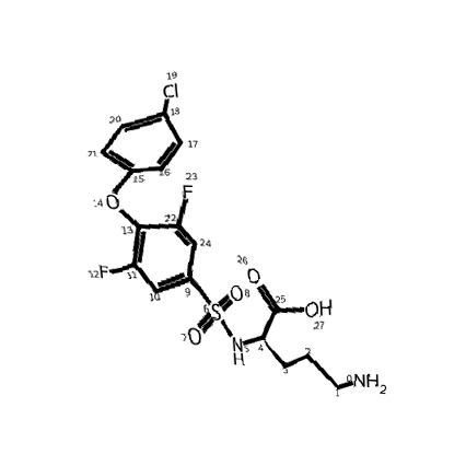 NCCC[C@@H](NS(=O)(=O)c1cc(F)c(Oc2ccc(Cl)cc2)c(F)c1)C(=O)O